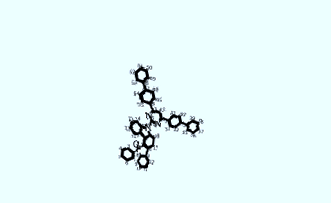 O=P1(c2ccccc2)c2ccccc2-c2ccc3c(c21)c1ccccc1n3-c1nc(-c2ccc(-c3ccccc3)cc2)cc(-c2ccc(-c3ccccc3)cc2)n1